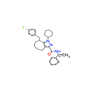 C[C@H](NC(=O)c1nn(C2CCCCC2)c2c1CCCCC2Cc1ccc(F)cc1)c1ccccc1